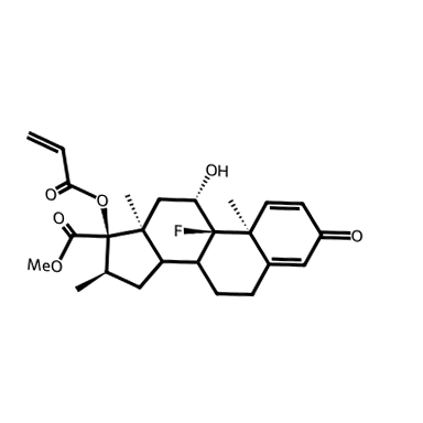 C=CC(=O)O[C@]1(C(=O)OC)[C@H](C)CC2C3CCC4=CC(=O)C=C[C@]4(C)[C@@]3(F)[C@@H](O)C[C@@]21C